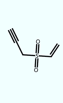 C#CCS(=O)(=O)C=C